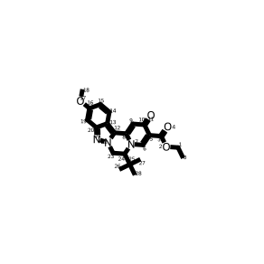 CCOC(=O)c1cn2c(cc1=O)-c1c3ccc(OC)cc3nn1CC2C(C)(C)C